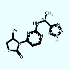 CC(C)C1COC(=O)N1c1ccnc(N[C@@H](C)c2nn[nH]n2)n1